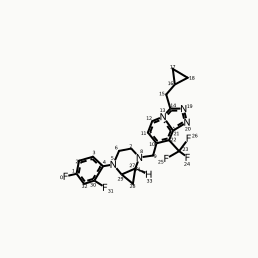 Fc1ccc(N2CCN(Cc3ccn4c(CC5CC5)nnc4c3C(F)(F)F)[C@@H]3CC32)c(F)c1